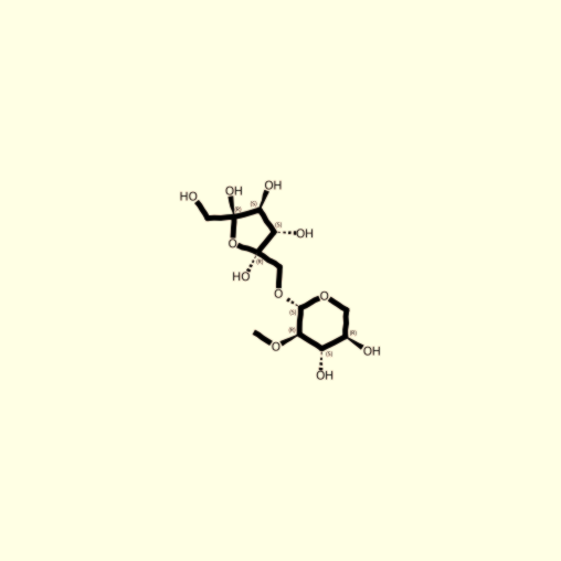 CO[C@H]1[C@H](OC[C@@]2(O)O[C@](O)(CO)[C@@H](O)[C@@H]2O)OC[C@@H](O)[C@@H]1O